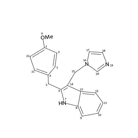 COc1ccc(Cc2[nH]c3ccccc3c2Cn2ccnc2)cc1